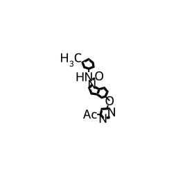 CC(=O)c1cc(Oc2ccc3c(ccn3C(=O)Nc3cccc(C)c3)c2)ncn1